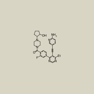 CCc1ncnc(-c2ccc(C(=O)N3CCN(C4CCCC4O)CC3)c(F)c2)c1C#Cc1ccc(N)nc1